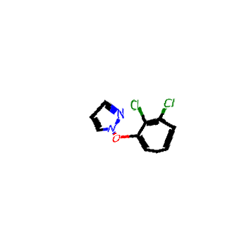 Clc1cccc(On2cccn2)c1Cl